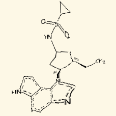 CC[C@@H]1CC(NS(=O)(=O)C2CC2)C[C@@H]1n1cnc2cnc3[nH]ccc3c21